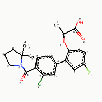 CC(Oc1ccc(F)cc1-c1ccc(C(=O)N2CCCC2(C)C)c(Cl)c1)C(=O)O